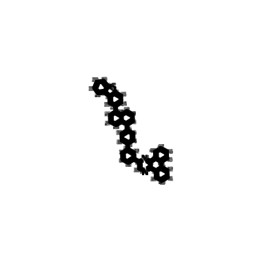 c1cc(-c2ccc(-c3cccc4c(-c5ccc6sc7ccccc7c6c5)cccc34)cc2)cc(-c2cnc3c4ccccc4c4ccccc4c3n2)c1